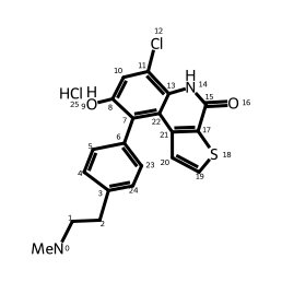 CNCCc1ccc(-c2c(O)cc(Cl)c3[nH]c(=O)c4sccc4c23)cc1.Cl